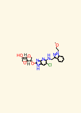 COCCn1nc(CNc2nc3nc(O[C@@H]4CO[C@H]5[C@@H]4OC[C@H]5O)[nH]c3cc2Cl)c2ccccc21